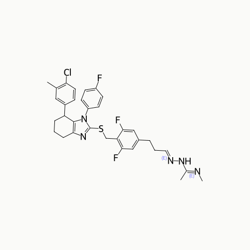 C/N=C(\C)N/N=C/CCc1cc(F)c(CSc2nc3c(n2-c2ccc(F)cc2)C(c2ccc(Cl)c(C)c2)CCC3)c(F)c1